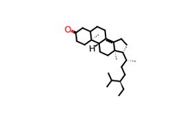 CC[C@H](CC[C@@H](C)[C@H]1CCC2=C3CCC4CC(=O)CC[C@]4(C)[C@H]3CC[C@@]21C)C(C)C